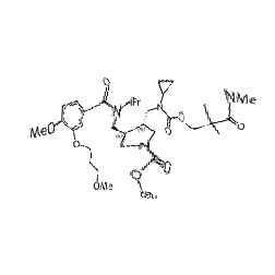 CNC(=O)C(C)(C)COC(=O)N(C[C@@H]1CN(C(=O)OC(C)(C)C)C[C@H]1CN(C(=O)c1ccc(OC)c(OCCCOC)c1)C(C)C)C1CC1